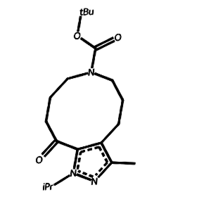 Cc1nn(C(C)C)c2c1CCCN(C(=O)OC(C)(C)C)CCCC2=O